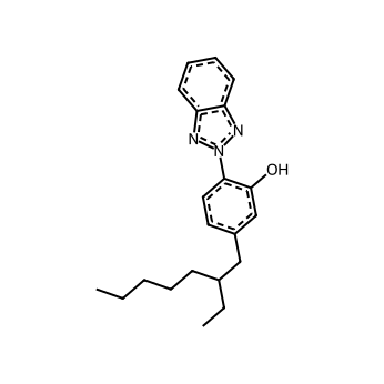 CCCCCC(CC)Cc1ccc(-n2nc3ccccc3n2)c(O)c1